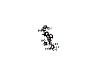 C=C1CC23CCC4[C@](C)(C(=O)OC(OC(CO)C(C)O)C(O)OC5OC(CO)C(O)C(O)C5O)CCC[C@@]4(C)[C@@H]2CCC1(OC(OC(CO)C(C)O)C(O)O)C3